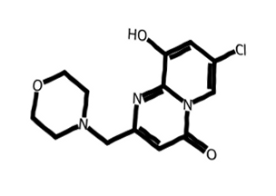 O=c1cc(CN2CCOCC2)nc2c(O)cc(Cl)cn12